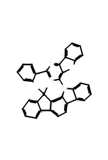 CC1(C)c2ccccc2-c2ccc3c4ccccc4n(-c4nc(-c5ccccc5)nc5c4oc4ccccc45)c3c21